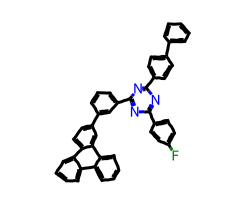 Fc1ccc(-c2nc(-c3ccc(-c4ccccc4)cc3)nc(-c3cccc(-c4ccc5c6ccccc6c6ccccc6c5c4)c3)n2)cc1